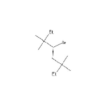 CCC(C)(C)CC(Br)C(C)(C)CC